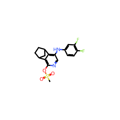 CS(=O)(=O)Oc1ncc(Nc2ccc(F)c(F)c2)c2c1C1CCC2C1